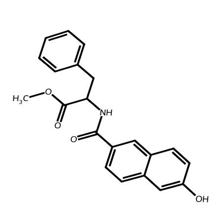 COC(=O)C(Cc1ccccc1)NC(=O)c1ccc2cc(O)ccc2c1